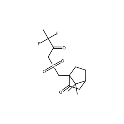 CC(F)(F)C(=O)CS(=O)(=O)CC12CCC(CC1=O)C2(C)C